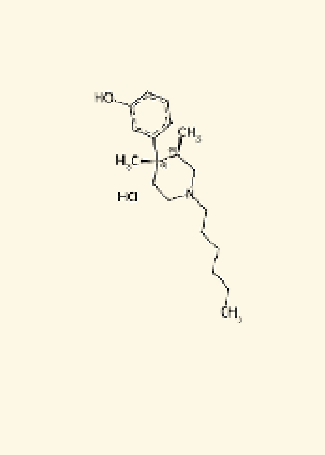 CCCCCCN1CC[C@](C)(c2cccc(O)c2)[C@@H](C)C1.Cl